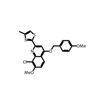 COc1ccc(COc2cc(-c3nc(C)cs3)nc3c(Cl)c(OC)ccc23)cc1